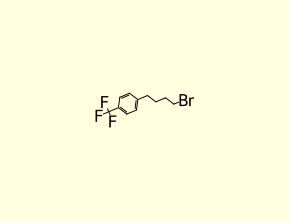 FC(F)(F)c1ccc(CCCCBr)cc1